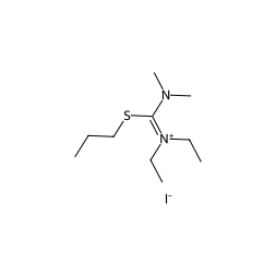 CCCSC(N(C)C)=[N+](CC)CC.[I-]